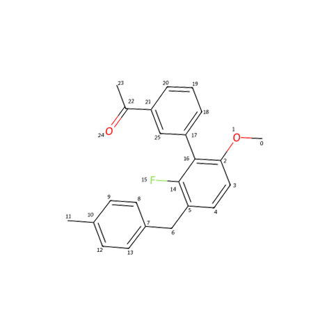 COc1ccc(Cc2ccc(C)cc2)c(F)c1-c1cccc(C(C)=O)c1